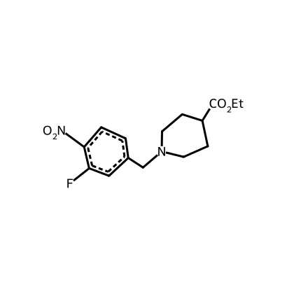 CCOC(=O)C1CCN(Cc2ccc([N+](=O)[O-])c(F)c2)CC1